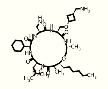 CCCCCC[C@H]1OC[C@@H](C)NC(=O)[C@H](CO[C@H]2C[C@H](CN)C2)NC(=O)[C@H](CN)NC(=O)[C@H](C2CCCCC2)NC(=O)[C@H](CC(C)C)N(C)C(=O)[C@@H]1C